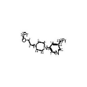 CC(C)OCCN1CCN(c2cncc(C(C)C)c2)CC1